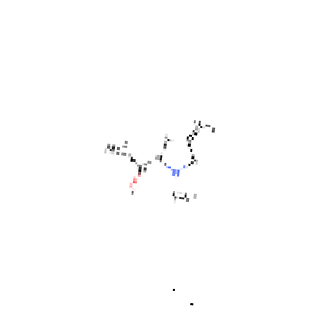 C=C1C[C@@H](C(=O)OC)N(C(=O)O)C1